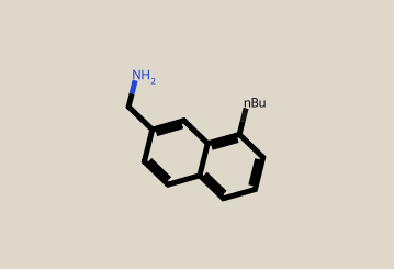 CCCCc1cccc2ccc(CN)cc12